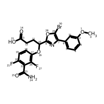 COc1cccc(-c2nc(C(CCC(=O)O)Oc3ccc(F)c(C(N)=O)c3F)oc2Br)c1